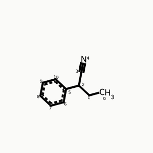 C[CH]C(C#N)c1ccccc1